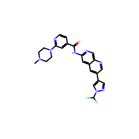 CN1CCN(c2cc(C(=O)Nc3cc4cc(-c5cnn(C(F)F)c5)cnc4cn3)ccn2)CC1